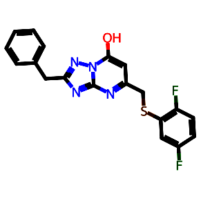 Oc1cc(CSc2cc(F)ccc2F)nc2nc(Cc3ccccc3)nn12